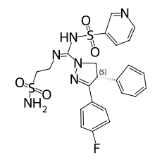 NS(=O)(=O)CCN=C(NS(=O)(=O)c1cccnc1)N1C[C@H](c2ccccc2)C(c2ccc(F)cc2)=N1